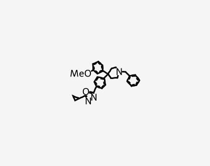 COc1cccc(C2(c3ccc(-c4nnc(C5CC5)o4)cc3)CCN(Cc3ccccc3)CC2)c1